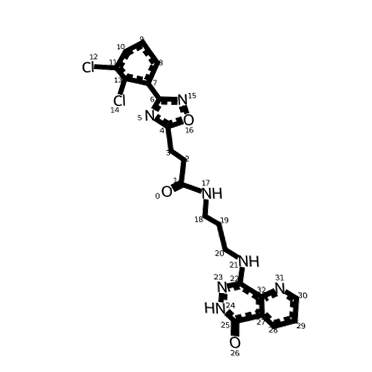 O=C(CCc1nc(-c2cccc(Cl)c2Cl)no1)NCCCNc1n[nH]c(=O)c2cccnc12